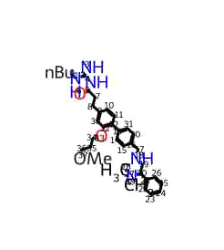 CCCCNC(=N)NC(=O)CCc1ccc(-c2ccc(CNCC(c3ccccc3)N(C)C)cc2)c(OCCCOC)c1